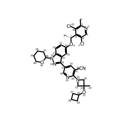 Cc1ncc(Cl)c([C@@H](C)Oc2ccc3c(c2)c(-c2cnc(N4CC(C)(OC5CCC5)C4)c(C#N)c2)nn3C2CCCCO2)c1Cl